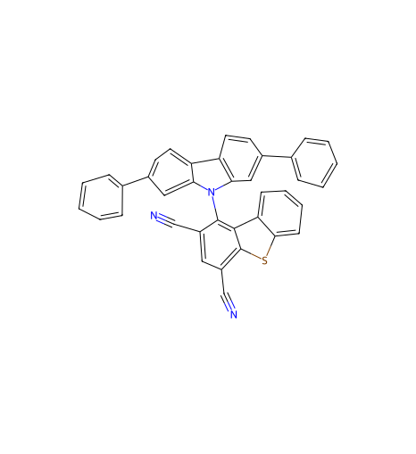 N#Cc1cc(C#N)c2sc3ccccc3c2c1-n1c2cc(-c3ccccc3)ccc2c2ccc(-c3ccccc3)cc21